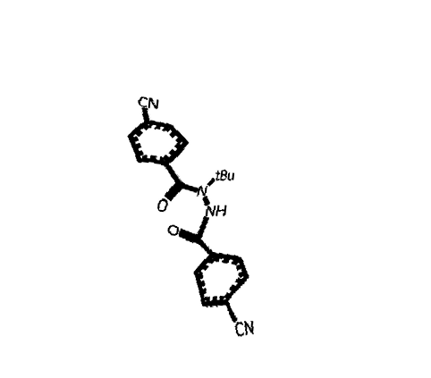 CC(C)(C)N(NC(=O)c1ccc(C#N)cc1)C(=O)c1ccc(C#N)cc1